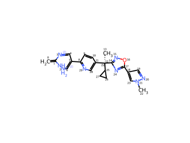 C=C(N)/N=C\C(=C/N)c1ccc([C@@](C)(c2noc(-c3cnn(C)c3)n2)C2CC2)cn1